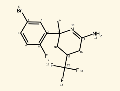 CC1(c2cc(Br)ccc2F)CC(C(F)(F)F)CC(N)=N1